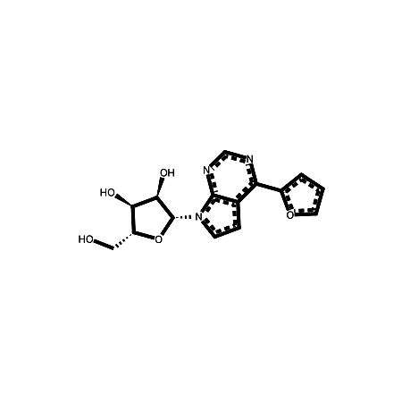 OC[C@H]1O[C@@H](n2ccc3c(-c4ccco4)ncnc32)[C@H](O)[C@@H]1O